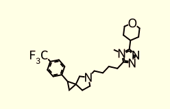 Cn1c(CCCCN2CCC3(CC3c3ccc(C(F)(F)F)cc3)C2)nnc1C1CCOCC1